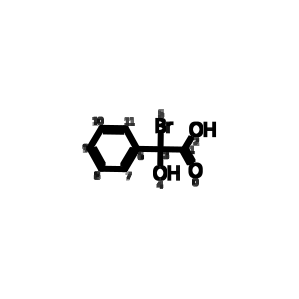 O=C(O)C(O)(Br)c1ccccc1